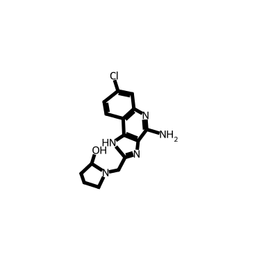 Nc1nc2cc(Cl)ccc2c2[nH]c(CN3CCCC3O)nc12